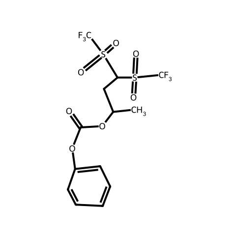 CC(CC(S(=O)(=O)C(F)(F)F)S(=O)(=O)C(F)(F)F)OC(=O)Oc1ccccc1